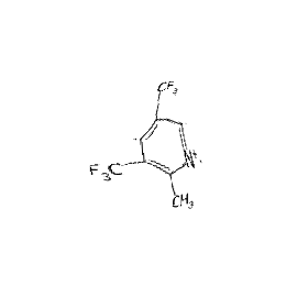 CC1=C(C(F)(F)F)[C]=C(C(F)(F)F)[C]=[N+]1